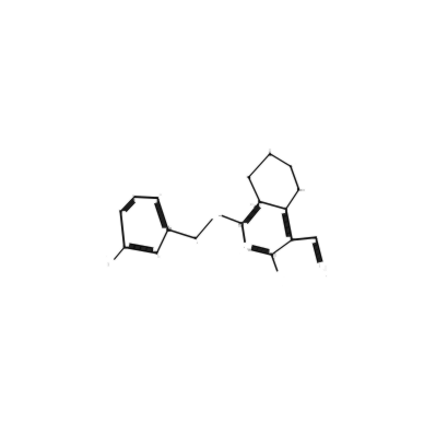 N=Cc1c(O)nc(SCc2cccc(Br)c2)c2c1CCCC2